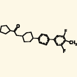 Cc1c(F)cc(-c2ccc(C3CCC(CC(=O)C4CCCC4)CC3)cc2)cc1F